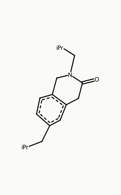 CC(C)Cc1ccc2c(c1)CC(=O)N(CC(C)C)C2